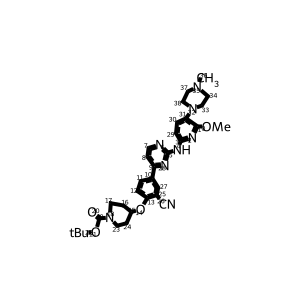 COc1nc(Nc2nccc(-c3ccc(OC4CCN(C(=O)OC(C)(C)C)CC4)c(C#N)c3)n2)ccc1N1CCN(C)CC1